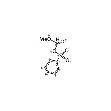 CO[PH](=O)OS(=O)(=O)c1ccccc1